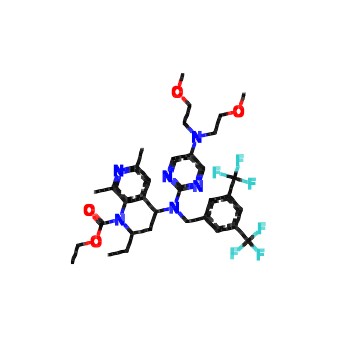 CCOC(=O)N1c2c(cc(C)nc2C)C(N(Cc2cc(C(F)(F)F)cc(C(F)(F)F)c2)c2ncc(N(CCOC)CCOC)cn2)CC1CC